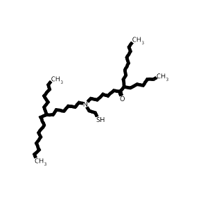 CCCCCCCCC(CCCCCC)CCCCCCN(CCS)CCCCCC(=O)C(CCCCCC)CCCCCCCC